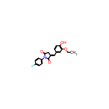 CCOc1cc(/C=C2\CC(=O)N(c3ccc(F)cc3)C2=O)ccc1O